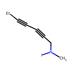 CCC#CC#CCN(C)I